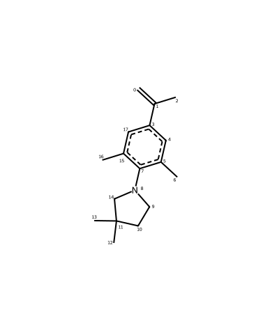 C=C(C)c1cc(C)c(N2CCC(C)(C)C2)c(C)c1